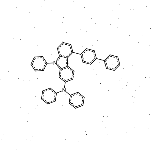 c1ccc(-c2ccc(-c3cccc4c3c3ccc(N(c5ccccc5)c5ccccc5)cc3n4-c3ccccc3)cc2)cc1